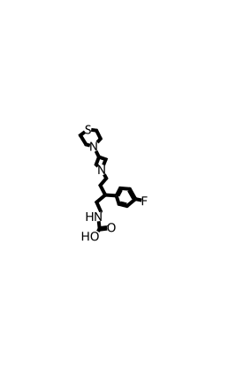 O=C(O)NCCC(CCN1CC(N2CCSCC2)C1)c1ccc(F)cc1